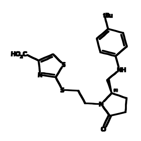 CC(C)(C)c1ccc(NC[C@H]2CCC(=O)N2CCSc2nc(C(=O)O)cs2)cc1